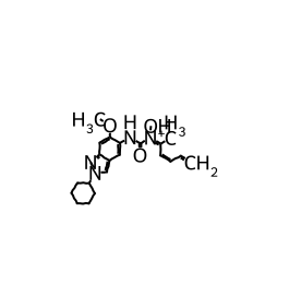 C=C/C=C\C(C)=[N+](\O)C(=O)Nc1cc2cn(C3CCCCC3)nc2cc1OC